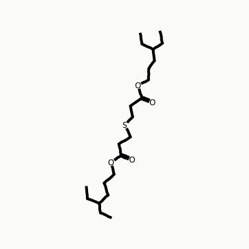 CCC(CC)CCCOC(=O)CCSCCC(=O)OCCCC(CC)CC